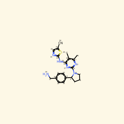 Cc1nc(N2CCCC2c2ccc(CN)cc2)nc(Nc2ncc(C#N)s2)c1C